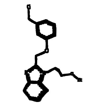 CCOCCn1c(COc2cccc(CCl)c2)nc2ccccc21